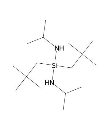 CC(C)N[Si](CC(C)(C)C)(CC(C)(C)C)NC(C)C